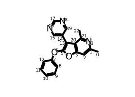 Cc1cc2oc(Oc3ccccc3)c(-c3cncnc3)c2c(C)n1